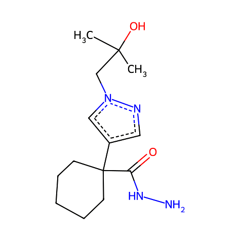 CC(C)(O)Cn1cc(C2(C(=O)NN)CCCCC2)cn1